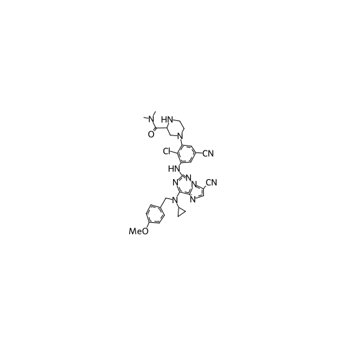 COc1ccc(CN(c2nc(Nc3cc(C#N)cc(N4CCNC(C(=O)N(C)C)C4)c3Cl)nn3c(C#N)cnc23)C2CC2)cc1